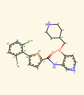 O=C(Nc1cnccc1OCC1CCNCC1)c1ccc(-c2c(F)cccc2F)s1